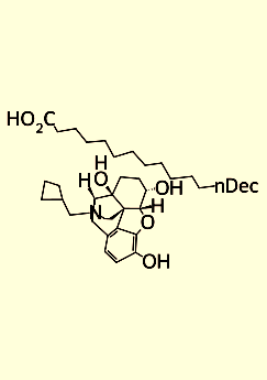 CCCCCCCCCCCCCCCCCCCCCC(=O)O.Oc1ccc2c3c1O[C@H]1[C@@H](O)CC[C@@]4(O)[C@@H](C2)N(CC2CCC2)CC[C@]314